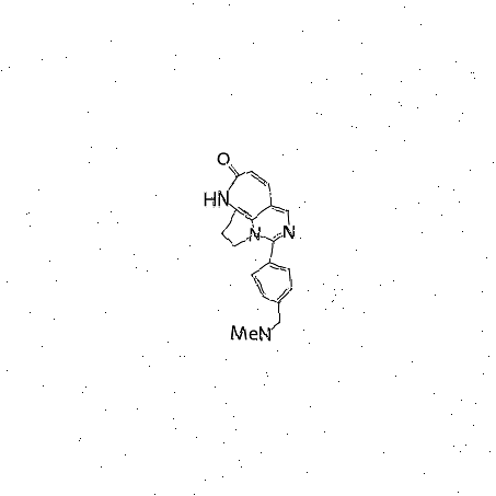 CNCc1ccc(C2=NC=C3C=CC(=O)NC4=C3N2CC4)cc1